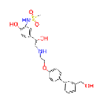 CS(=O)(=O)Nc1cc(C(O)CNCCOc2ccc(-c3cccc(CO)c3)cc2)ccc1O